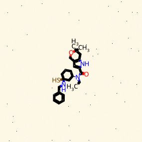 CCN(C(=O)c1cc2c([nH]1)CC(C)(C)OC2)[C@H]1CCCC(S)(NCc2ccccc2)C1